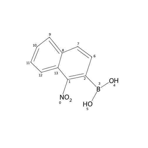 O=[N+]([O-])c1c(B(O)O)ccc2ccccc12